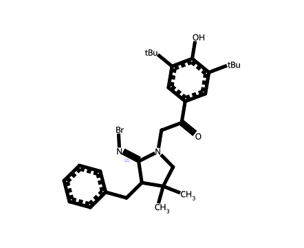 CC(C)(C)c1cc(C(=O)CN2CC(C)(C)C(Cc3ccccc3)/C2=N/Br)cc(C(C)(C)C)c1O